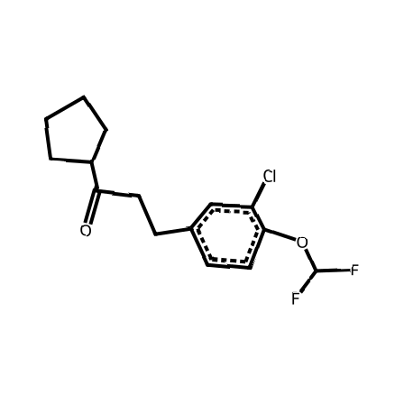 O=C(CCc1ccc(OC(F)F)c(Cl)c1)C1CCCC1